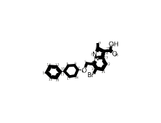 Cc1nn2c(CO[C@H]3CC[C@@H](c4ccccc4)CC3)c(Br)ccc2c1C(=O)O